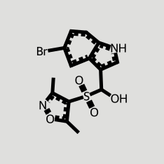 Cc1noc(C)c1S(=O)(=O)C(O)c1c[nH]c2ccc(Br)cc12